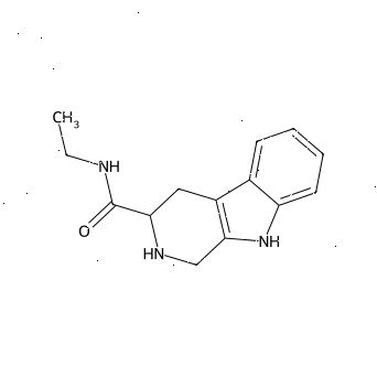 CCNC(=O)C1Cc2c([nH]c3ccccc23)CN1